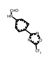 O=CNc1ccc(-c2noc(C(F)(F)F)n2)cc1